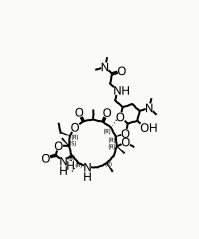 CC[C@H]1OC(=O)C(C)C(=O)[C@H](C)[C@@H](OC2OC(CNCC(=O)N(C)C)CC(N(C)C)C2O)[C@](C)(OC)C[C@@H](C)CN[C@H](C)[C@H]2NC(=O)O[C@@]21C